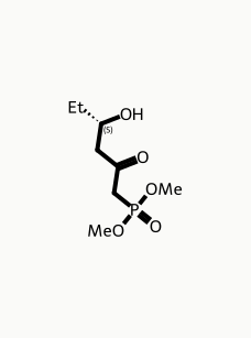 CC[C@H](O)CC(=O)CP(=O)(OC)OC